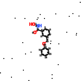 O=C(NO)c1cccc(COc2ccccc2)c1